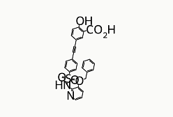 O=C(O)c1cc(C#Cc2ccc(S(=O)(=O)Nc3ncccc3OCc3ccccc3)cc2)ccc1O